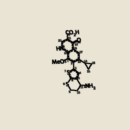 COc1c(-c2cc3c(s2)SCCC3N)c(C2CC2)cc2c(=O)c(C(=O)O)c[nH]c12